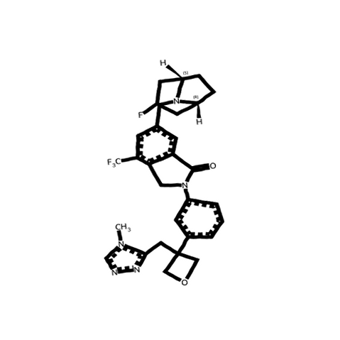 Cn1cnnc1CC1(c2cccc(N3Cc4c(cc(CN5[C@@H]6CC[C@H]5CC(F)C6)cc4C(F)(F)F)C3=O)c2)COC1